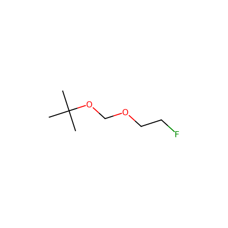 CC(C)(C)OCOCCF